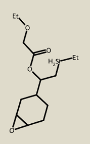 CCOCC(=O)OC(C[SiH2]CC)C1CCC2OC2C1